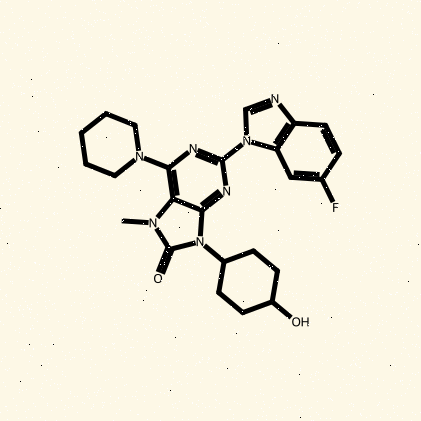 Cn1c(=O)n(C2CCC(O)CC2)c2nc(-n3cnc4ccc(F)cc43)nc(N3CCCCC3)c21